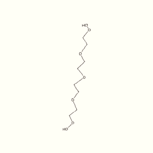 OOCCOCCOCCOCCOO